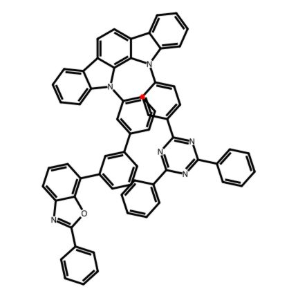 c1ccc(-c2nc(-c3ccccc3)nc(-c3ccc(-n4c5ccccc5c5ccc6c7ccccc7n(-c7cccc(-c8cccc(-c9cccc%10nc(-c%11ccccc%11)oc9%10)c8)c7)c6c54)cc3)n2)cc1